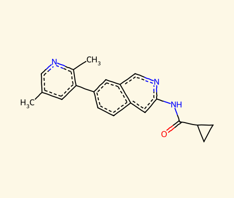 Cc1cnc(C)c(-c2ccc3cc(NC(=O)C4CC4)ncc3c2)c1